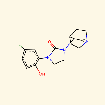 O=C1N(c2cc(Cl)ccc2O)CCN1C1CN2CCC1CC2